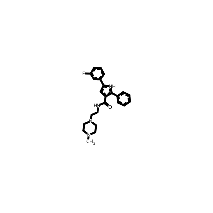 CN1CCN(CCNC(=O)c2cc(-c3cccc(F)c3)[nH]c2-c2ccccc2)CC1